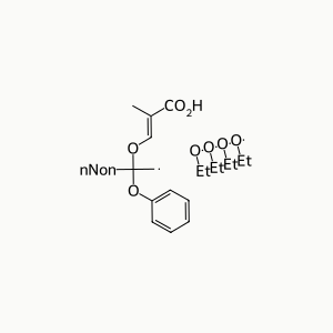 [CH2]C(CCCCCCCCC)(OC=C(C)C(=O)O)Oc1ccccc1.[CH2]C[O].[CH2]C[O].[CH2]C[O].[CH2]C[O]